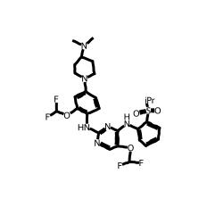 CC(C)S(=O)(=O)c1ccccc1Nc1nc(Nc2ccc(N3CCC(N(C)C)CC3)cc2OC(F)F)ncc1OC(F)F